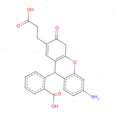 Nc1ccc2c(c1)OC1=C(C=C(CCC(=O)O)C(=O)C1)C2c1ccccc1C(=O)O